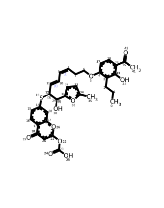 CCCc1c(OCC/C=C\C=C\[C@H](Sc2ccc3c(=O)cc(OC(=O)O)oc3c2)[C@H](O)c2ccc(C)o2)ccc(C(C)=O)c1O